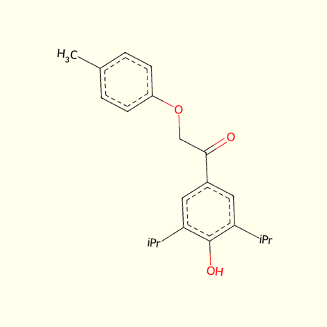 Cc1ccc(OCC(=O)c2cc(C(C)C)c(O)c(C(C)C)c2)cc1